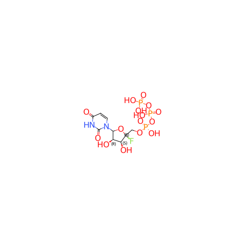 O=c1ccn(C2O[C@](F)(COP(=O)(O)OP(=O)(O)OP(=O)(O)O)[C@@H](O)[C@H]2O)c(=O)[nH]1